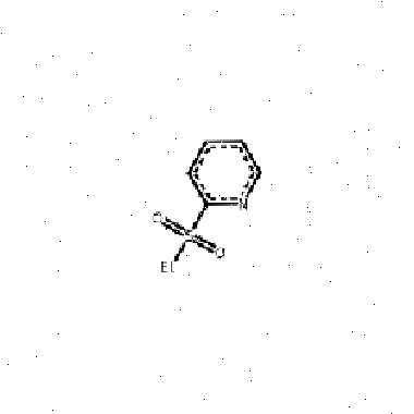 [CH2]CS(=O)(=O)c1ccccn1